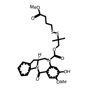 COC(=O)CCCSSC(C)(C)COC(=O)N1C[C@@H]2Cc3ccccc3N2C(=O)c2cc(OC)c(O)cc21